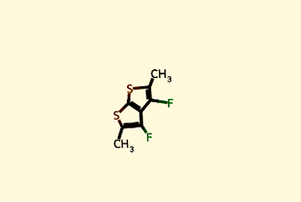 Cc1sc2sc(C)c(F)c2c1F